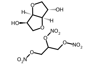 O=[N+]([O-])OCC(CO[N+](=O)[O-])O[N+](=O)[O-].O[C@@H]1CO[C@H]2[C@@H]1OC[C@@H]2O